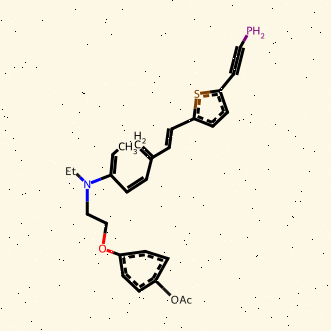 C=C(/C=C\C(=C/C)N(CC)CCOc1ccc(OC(C)=O)cc1)/C=C/c1ccc(C#CP)s1